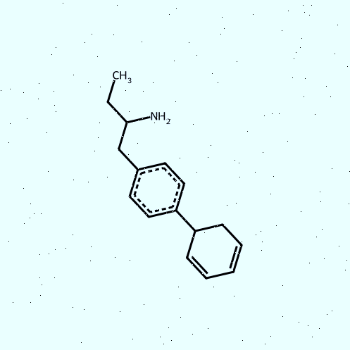 CCC(N)Cc1ccc(C2C=CC=CC2)cc1